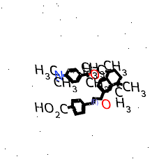 CN(C)c1ccc(C(C)(C)Oc2cc(C(=O)/C=C/c3ccc(C(=O)O)cc3)cc3c2C(C)(C)CCC3(C)C)cc1